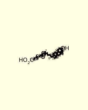 C[C@H](CCCC(C)(C)OC(=O)CCSSCCC(=O)O)[C@H]1CC[C@@]2(C)C3=C(CC[C@]12C)[C@@]1(C)CCC(O)C(C)(C)[C@@H]1CC3